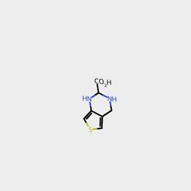 O=C(O)C1NCc2cscc2N1